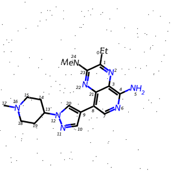 CCc1nc2c(N)ncc(-c3cnn(C4CCN(C)CC4)c3)c2nc1NC